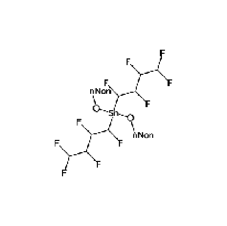 CCCCCCCCC[O][Sn]([O]CCCCCCCCC)([CH](F)C(F)C(F)C(F)F)[CH](F)C(F)C(F)C(F)F